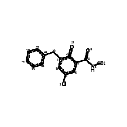 CCNC(=O)c1cc(Cl)cn(Cc2ccccc2)c1=O